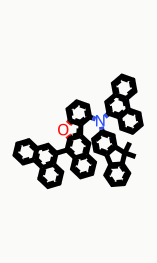 CC1(C)c2ccccc2-c2ccc(N(c3cc4ccccc4c4ccccc34)c3cccc4oc5c(-c6cc7ccccc7c7ccccc67)c6ccccc6cc5c34)cc21